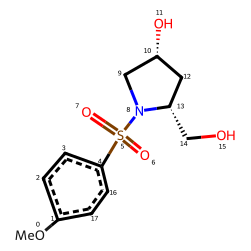 COc1ccc(S(=O)(=O)N2C[C@H](O)C[C@@H]2CO)cc1